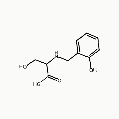 O=C(O)C(CO)NCc1ccccc1O